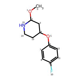 COC1CC(Oc2ccc(F)cc2)CCN1